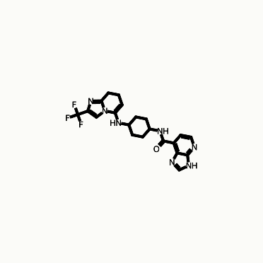 O=C(NC1CCC(NC2=CCCc3nc(C(F)(F)F)cn32)CC1)c1ccnc2[nH]cnc12